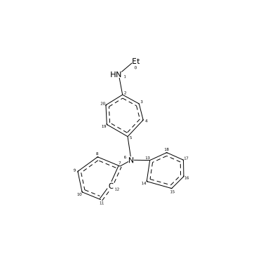 CCNc1ccc(N(c2ccccc2)c2ccccc2)cc1